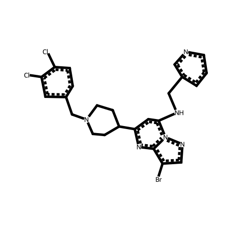 Clc1ccc(CN2CCC(c3cc(NCc4cccnc4)n4ncc(Br)c4n3)CC2)cc1Cl